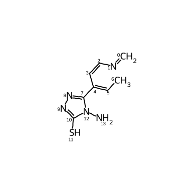 C=N/C=C\C(=C/C)c1nnc(S)n1N